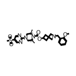 COc1ccccc1CN1CC2(CC(OC(=O)N3[C@H](C)CN(c4ncc(S(C)(=O)=O)cn4)C[C@@H]3C)C2)C1